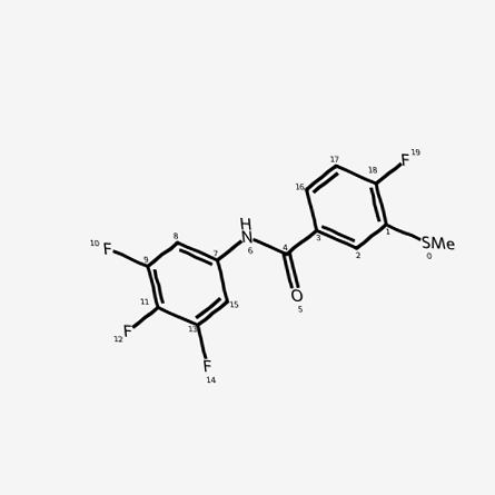 CSc1cc(C(=O)Nc2cc(F)c(F)c(F)c2)ccc1F